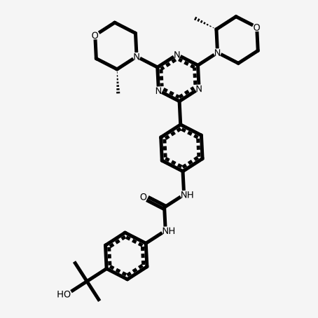 C[C@@H]1COCCN1c1nc(-c2ccc(NC(=O)Nc3ccc(C(C)(C)O)cc3)cc2)nc(N2CCOC[C@H]2C)n1